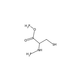 O=C(OP)C(CS)NP